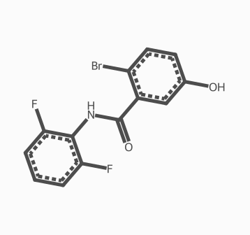 O=C(Nc1c(F)cccc1F)c1cc(O)ccc1Br